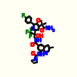 Cc1cnc2c(NC(=O)N3CCC3)cc(C(=O)NCC(O)(c3cc4c(c(-c5ccc(F)cc5)n3)OC[C@]4(C)C(N)=O)C(F)(F)F)cc2c1